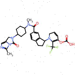 Cc1ncc2n1C(=O)N(C1CCC(N(C)C(=O)c3ccc4c(c3)C(N3CC=CC(OC(=O)O)=C3C(F)(F)F)CC4)CC1)C2